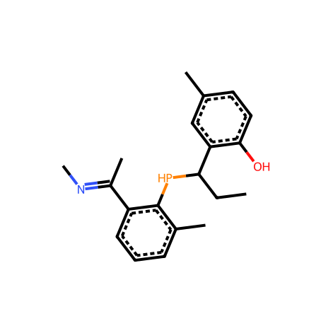 CCC(Pc1c(C)cccc1/C(C)=N/C)c1cc(C)ccc1O